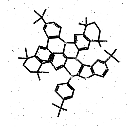 Cc1cc2c3c(c1)N(c1ccc(C(C)(C)C)cc1)c1oc4ccc(C(C)(C)C)cc4c1B3c1cc3c(cc1N2c1ccc(C(C)(C)C)cc1-c1ccc2c(c1)C(C)(C)CCC2(C)C)C(C)(C)CCC3(C)C